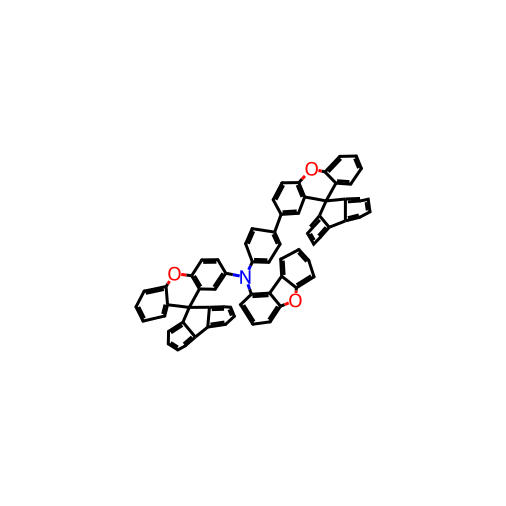 c1ccc2c(c1)Oc1ccc(-c3ccc(N(c4ccc5c(c4)C4(c6ccccc6O5)c5ccccc5-c5ccccc54)c4cccc5oc6ccccc6c45)cc3)cc1C21c2ccccc2-c2ccccc21